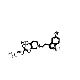 CCOC(=O)OC1=C(O)CCN(CCc2c[nH]c3ccc(Br)cc23)C1